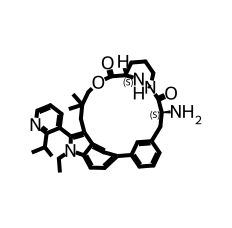 CCn1c(-c2cccnc2C(C)C)c2c3cc(ccc31)-c1cccc(c1)C[C@H](N)C(=O)N1CCC[C@H](N1)C(=O)OCC(C)(C)C2